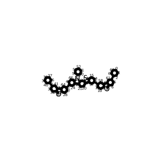 c1ccc(-c2ccc3oc4ccc(-c5ccc6sc7c(ccc8c9cc(-c%10ccc%11oc%12ccc(-c%13ccccc%13)cc%12c%11c%10)ccc9n(-c9ccccc9)c87)c6c5)cc4c3c2)cc1